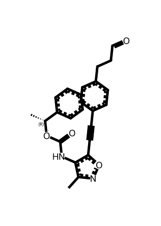 Cc1noc(C#Cc2ccc(CCC=O)cc2)c1NC(=O)O[C@H](C)c1ccccc1